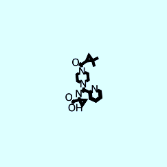 CC1(C)CC1C(=O)N1CCN(/C(=N/C2(C(=O)O)CC2)c2ccccn2)CC1